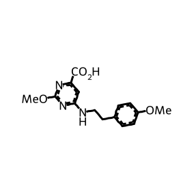 COc1ccc(CCNc2cc(C(=O)O)nc(OC)n2)cc1